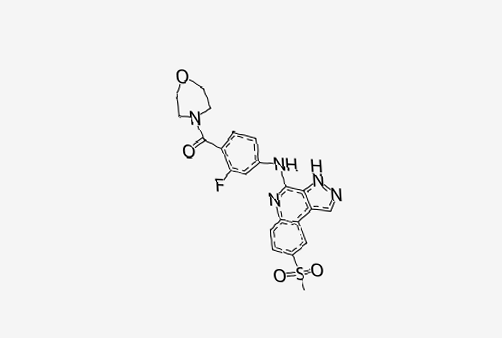 CS(=O)(=O)c1ccc2nc(Nc3ccc(C(=O)N4CCOCC4)c(F)c3)c3[nH]ncc3c2c1